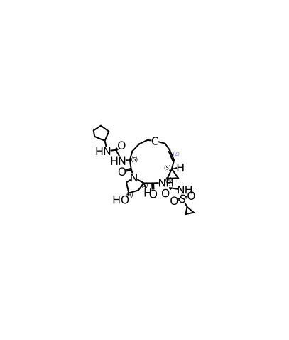 O=C(NC1CCCC1)N[C@H]1CCCCC/C=C\[C@@H]2C[C@@]2(C(=O)NS(=O)(=O)C2CC2)NC(=O)[C@@H]2C[C@@H](O)CN2C1=O